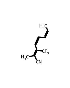 C\C=C/C=C\C(=C(/C)C#N)C(F)(F)F